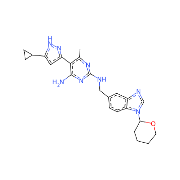 Cc1nc(NCc2ccc3c(c2)ncn3C2CCCCO2)nc(N)c1-c1cc(C2CC2)[nH]n1